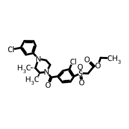 CCOC(=O)CS(=O)(=O)c1ccc(C(=O)N2CCN(c3cccc(Cl)c3)[C@@H](C)[C@@H]2C)cc1Cl